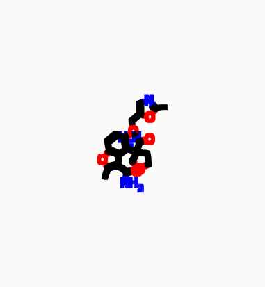 Cc1ncc(COc2ccc3oc(C)c(C(N)=O)c3c2C2(C(N)=O)CCOC2)o1